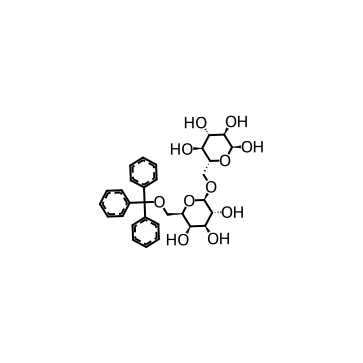 O[C@@H]1[C@@H](O)[C@@H](O)O[C@H](CO[C@@H]2O[C@H](COC(c3ccccc3)(c3ccccc3)c3ccccc3)[C@H](O)[C@H](O)[C@H]2O)[C@H]1O